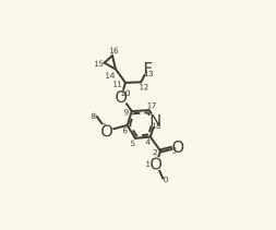 COC(=O)c1cc(OC)c(OC(CF)C2CC2)cn1